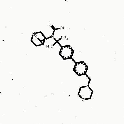 CC(C)(c1ccc(-c2ccc(CN3CCOCC3)cc2)cc1)N(C(=O)O)C1CN2CCC1CC2